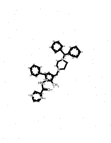 Cc1c(CN2CCN(C(c3ccccc3)c3ccccc3)CC2)cc(-c2ccccc2)n1NC(=O)c1cnccn1